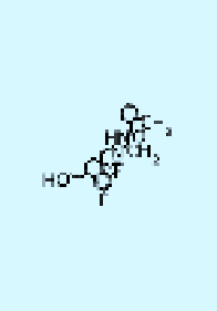 C=C(NC(=O)C1=C(C)CCCC1)N1CCC2(CCC(CCO)c3cc(F)cc(F)c32)CC1